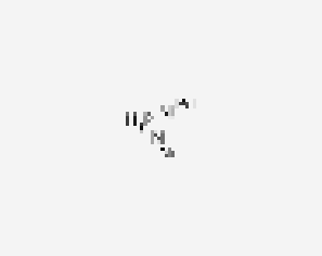 P.[Ni].[Ni].[Ni].[Pd]